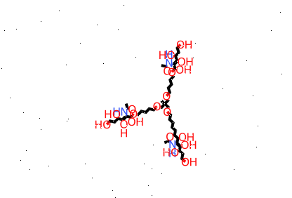 CC(=O)N/C(=C(/O)[C@@H](O)CCO)[C@@H](O)CCCCCCOCC(C)(COCCCCCO[C@H](O)/C(NC(C)=O)=C(\O)[C@@H](O)CCO)COCCCCCO[C@H](O)/C(NC(C)=O)=C(\O)[C@@H](O)CCO